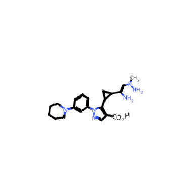 CN(N)/C=C(\N)C1CC1c1c(C(=O)O)cnn1-c1cccc(N2CCCCC2)c1